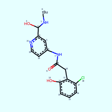 CC(C)(C)NC(O)c1cc(NC(=O)Cc2c(O)cccc2Cl)ccn1